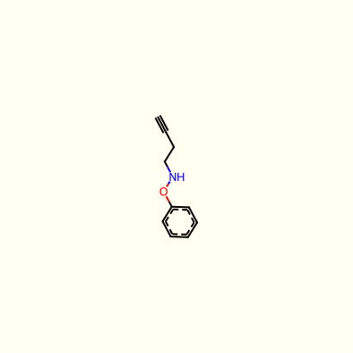 C#CCCNOc1ccccc1